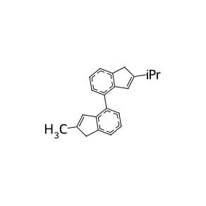 CC1=Cc2c(cccc2-c2cccc3c2C=C(C(C)C)C3)C1